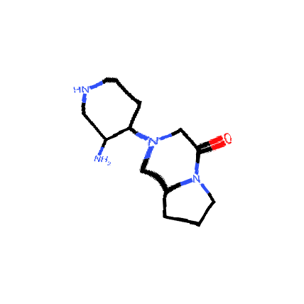 NC1CNCCC1N1CC(=O)N2CCCC2C1